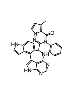 Cc1ccn2nc(C(C)Nc3ncnc4[nH]cc(-c5cccc6[nH]ccc56)c34)n(-c3ccccc3)c(=O)c12